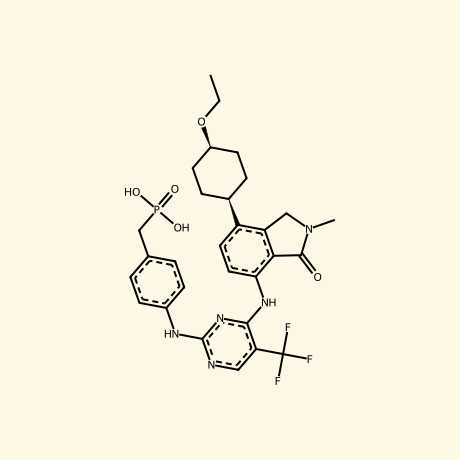 CCO[C@H]1CC[C@@H](c2ccc(Nc3nc(Nc4ccc(CP(=O)(O)O)cc4)ncc3C(F)(F)F)c3c2CN(C)C3=O)CC1